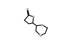 O=C1CCC(C2COCCO2)O1